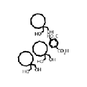 O=C(O)c1ccc(C(=O)O)cc1.OCC1(CO)CCCCCCCCC1.OCC1(CO)CCCCCCCCC1.OCC1(CO)CCCCCCCCC1